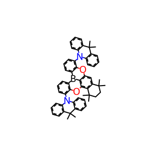 CC1(C)CCC(C)(C)c2c1cc1c3c2Oc2c(cccc2N2c4ccccc4C(C)(C)c4ccccc42)B3c2cccc(N3c4ccccc4C(C)(C)c4ccccc43)c2O1